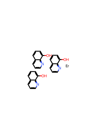 Oc1cccc2cccnc12.Oc1cccc2cccnc12.Oc1cccc2cccnc12.[Er]